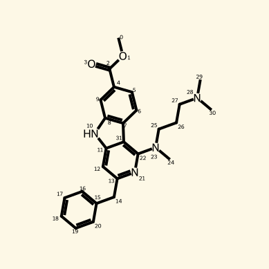 COC(=O)c1ccc2c(c1)[nH]c1cc(Cc3ccccc3)nc(N(C)CCCN(C)C)c12